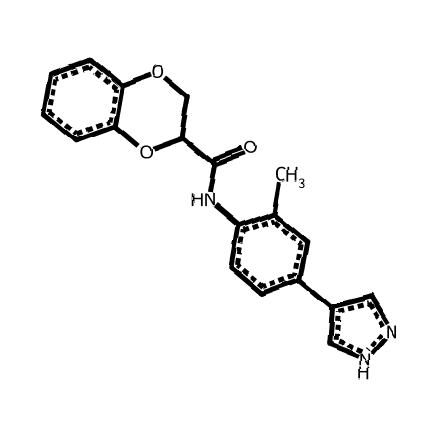 Cc1cc(-c2cn[nH]c2)ccc1NC(=O)C1COc2ccccc2O1